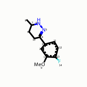 COc1cc(C2=NNC(C)CC2)ccc1F